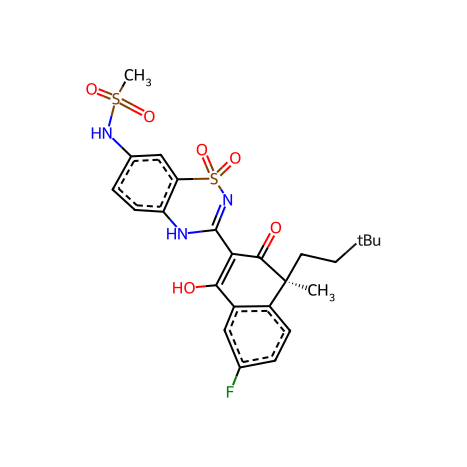 CC(C)(C)CC[C@]1(C)C(=O)C(C2=NS(=O)(=O)c3cc(NS(C)(=O)=O)ccc3N2)=C(O)c2cc(F)ccc21